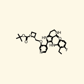 CCc1c(F)cccc1Nc1c(-c2ccncc2OC[C@@H]2CCN2C(=O)OC(C)(C)C)[nH]c2c1C(=O)NCC2